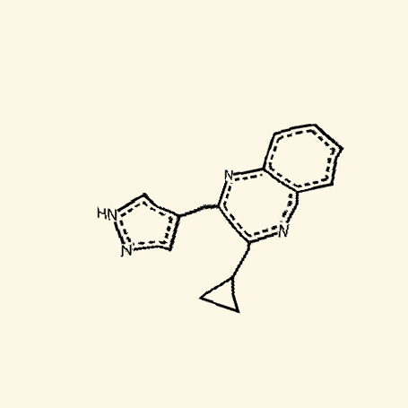 c1ccc2nc(C3CC3)c(-c3cn[nH]c3)nc2c1